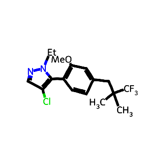 CCn1ncc(Cl)c1-c1ccc(CC(C)(C)C(F)(F)F)cc1OC